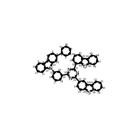 c1ccc(-c2ccc3c4ccccc4n(-c4cccc(-c5nc(-c6ccc7sc8ccccc8c7c6)nc(-c6cccc7c6oc6ccccc67)n5)c4)c3c2)cc1